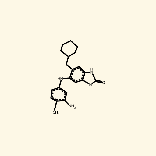 Cc1ccc(Nc2cc3c(cc2CC2CCCCC2)NC(=O)[N]3)cc1N